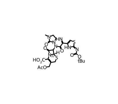 CC(=O)OCC1=C(C(=O)O)N2C(=O)C(N(C(=O)C(=N)c3csc(=NC(=O)OC(C)(C)C)[nH]3)N3CCN(C)C3=O)[C@@H]2SC1